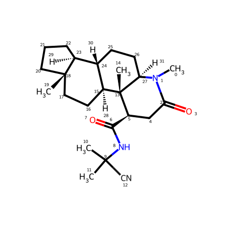 CN1C(=O)C[C@@H](C(=O)NC(C)(C)C#N)[C@]2(C)[C@H]3CC[C@]4(C)CCC[C@H]4[C@@H]3CC[C@@H]12